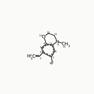 C=Cc1cc2c(cc1F)N(C)CCO2